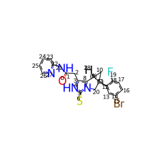 O=C(Cc1[nH]c(=S)n2c1[C@@H]1C[C@]1(c1cc(Br)ccc1F)C2)Nc1ccccn1